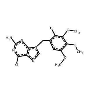 COc1cc(Cn2cnc3c(Cl)nc(N)nc32)c(F)c(OC)c1OC